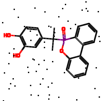 CC(C)(c1ccc(O)c(O)c1)P1(=O)Oc2ccccc2-c2ccccc21